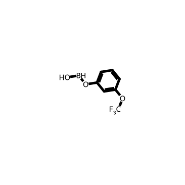 OBOc1cccc(OC(F)(F)F)c1